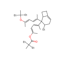 CCC1CC=C2CCC2C1(/C(C)=C/C=C(\C)OC(=O)C(C)(CC)CC)/C(C)=C/C=C(\C)OC(C)(CC)CC